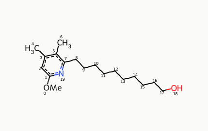 COc1cc(C)c(C)c(CCCCCCCCCCO)n1